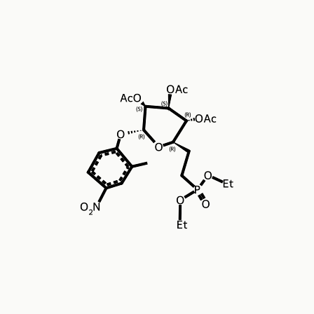 CCOP(=O)(CC[C@H]1O[C@H](Oc2ccc([N+](=O)[O-])cc2C)[C@@H](OC(C)=O)[C@@H](OC(C)=O)[C@@H]1OC(C)=O)OCC